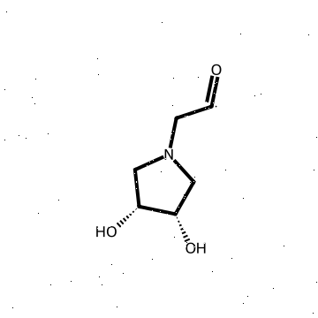 O=[C]CN1C[C@@H](O)[C@@H](O)C1